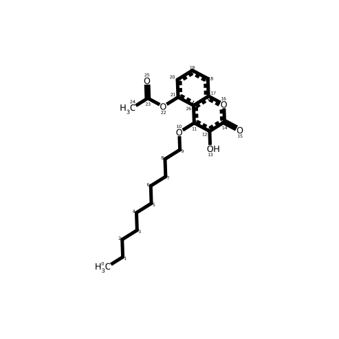 CCCCCCCCCCOc1c(O)c(=O)oc2cccc(OC(C)=O)c12